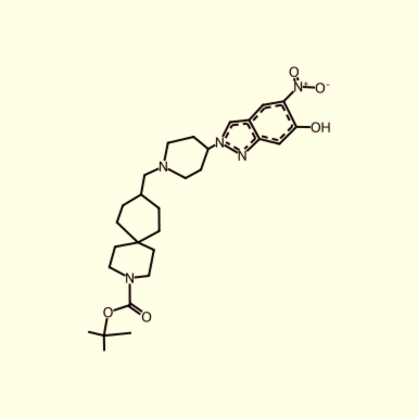 CC(C)(C)OC(=O)N1CCC2(CCC(CN3CCC(n4cc5cc([N+](=O)[O-])c(O)cc5n4)CC3)CC2)CC1